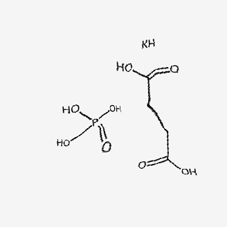 O=C(O)CCC(=O)O.O=P(O)(O)O.[KH]